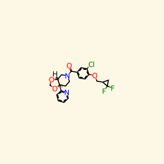 O=C(c1ccc(OCC2CC2(F)F)c(Cl)c1)N1CC[C@]2(c3ccccn3)OCO[C@@H]2C1